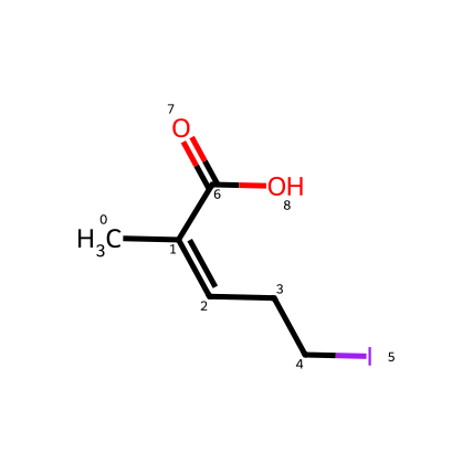 CC(=CCCI)C(=O)O